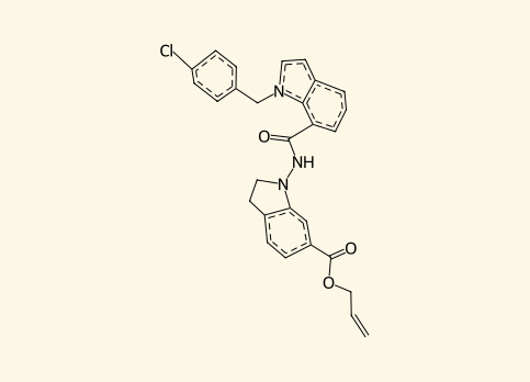 C=CCOC(=O)c1ccc2c(c1)N(NC(=O)c1cccc3ccn(Cc4ccc(Cl)cc4)c13)CC2